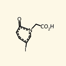 O=C(O)Cn1cc(I)ccc1=O